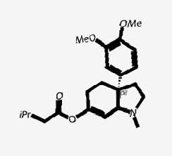 COc1ccc([C@@]23CCC(OC(=O)CC(C)C)=CC2N(C)CC3)cc1OC